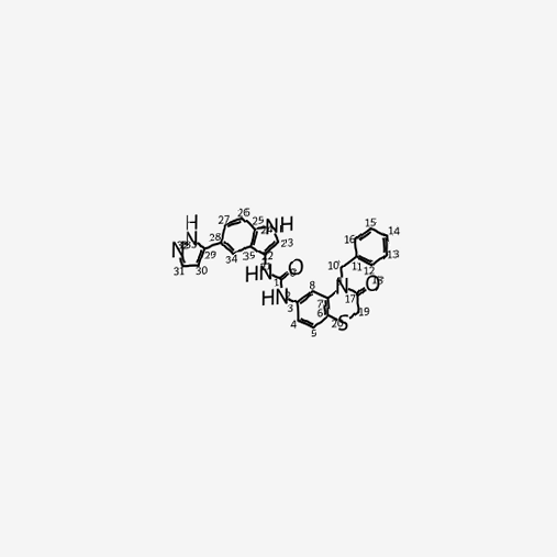 O=C(Nc1ccc2c(c1)N(Cc1ccccc1)C(=O)CS2)Nc1c[nH]c2ccc(-c3ccn[nH]3)cc12